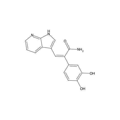 NC(=O)/C(=C\c1c[nH]c2ncccc12)c1ccc(O)c(O)c1